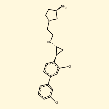 N[C@@H]1CCN(CCN[C@@H]2C[C@H]2c2ccc(-c3cccc(Cl)c3)cc2Cl)C1